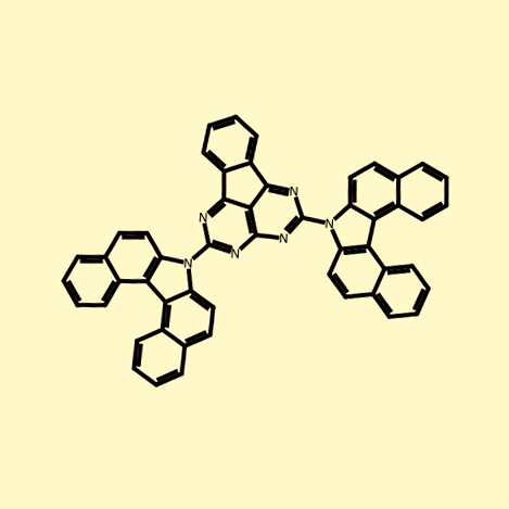 c1ccc2c(c1)-c1nc(-n3c4ccc5ccccc5c4c4c5ccccc5ccc43)nc3nc(-n4c5ccc6ccccc6c5c5c6ccccc6ccc54)nc-2c13